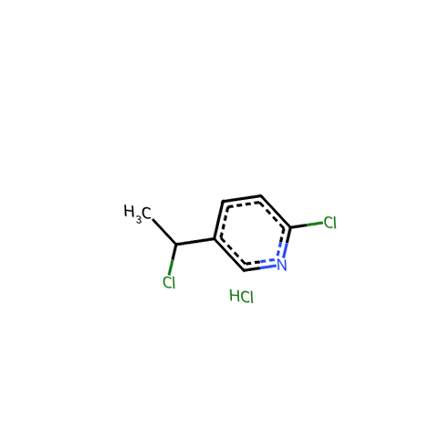 CC(Cl)c1ccc(Cl)nc1.Cl